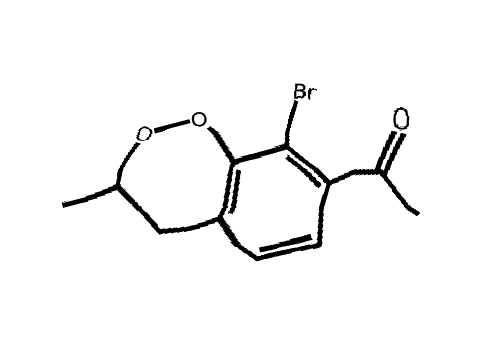 CC(=O)c1ccc2c(c1Br)OOC(C)C2